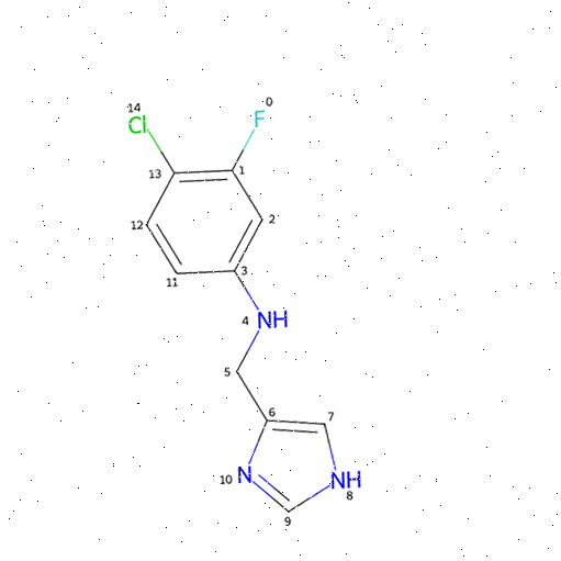 Fc1cc(NCc2c[nH]cn2)ccc1Cl